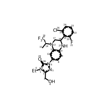 CCn1c(CO)nn(-c2ccc3c(c2)N([C@@H](C)C(F)(F)F)CC(c2c(F)cccc2Cl)N3)c1=O